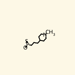 CN1CCC(CCCP(=O)=S)CC1